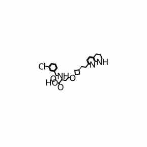 O=C(NC(CCO[C@H]1C[C@H](CCc2ccc3c(n2)NCCC3)C1)C(=O)O)c1cccc(Cl)c1